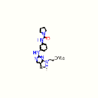 Bc1cnc(Nc2cccc(NC(=O)N3CCCC3)c2)nc1NCCOC